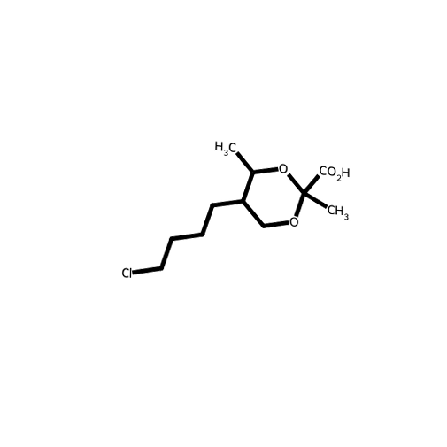 CC1OC(C)(C(=O)O)OCC1CCCCCl